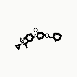 Cc1c2cc(-n3ccc(OCc4ccccc4)cc3=O)ccc2nn1C1CC1